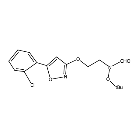 CC(C)(C)ON(C=O)CCOc1cc(-c2ccccc2Cl)on1